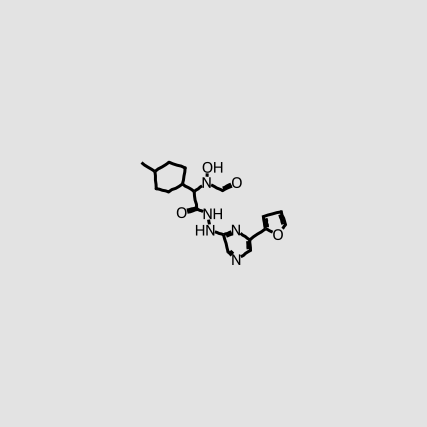 CC1CCC(C(C(=O)NNc2cncc(-c3ccco3)n2)N(O)C=O)CC1